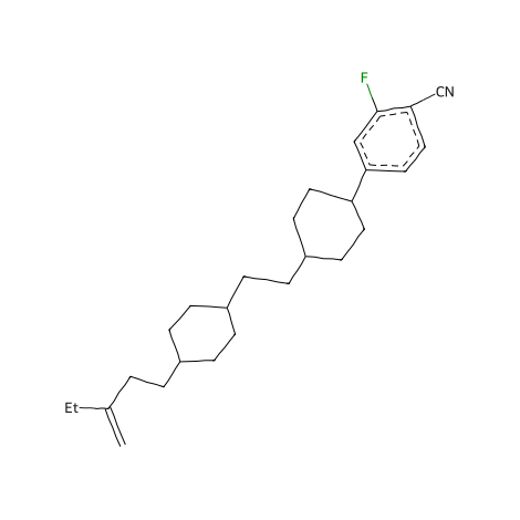 C=C(CC)CCC1CCC(CCC2CCC(c3ccc(C#N)c(F)c3)CC2)CC1